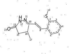 CSc1ccccc1C=CC1=NNC(=O)CC1C